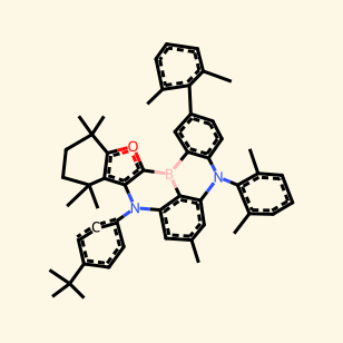 Cc1cc2c3c(c1)N(c1c(C)cccc1C)c1ccc(-c4c(C)cccc4C)cc1B3c1oc3c(c1N2c1ccc(C(C)(C)C)cc1)C(C)(C)CCC3(C)C